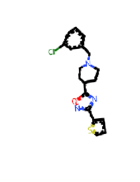 Clc1cccc(CN2CCC(c3nc(-c4cccs4)no3)CC2)c1